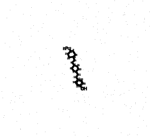 CCCC1CCC(CCC2CCC(CCc3ccc(O)cc3)CC2)CC1